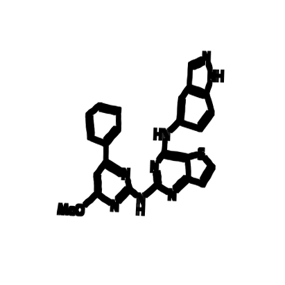 COc1cc(-c2ccccc2)nc(Nc2nc(Nc3ccc4[nH]ncc4c3)c3sccc3n2)n1